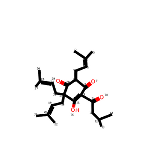 CC(C)=CCC1C(=O)C(C(=O)CC(C)C)=C(O)C(CC=C(C)C)(CC=C(C)C)C1=O